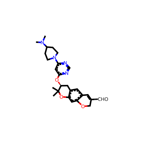 CN(C)C1CCN(c2cc(O[C@H]3Cc4cc5c(cc4OC3(C)C)OCC(C=O)=C5)ncn2)CC1